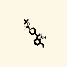 CCc1cccc2c(C3=CCN(C(=O)OC(C)(C)C)CC3)n[nH]c12